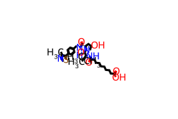 Cc1ncsc1-c1ccc(CNC(=O)[C@@H]2CC(O)CN2C(=O)[C@@H](NC(=O)CCCCCCCCC(=O)O)C(C)(C)C)cc1